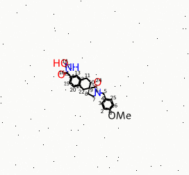 COc1ccc(CN2CC[C@@]3(CCc4cc(C(=O)NO)ccc4C3)C2=O)cc1